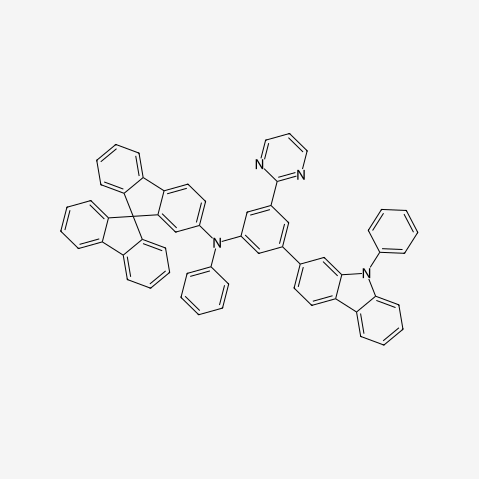 c1ccc(N(c2cc(-c3ccc4c5ccccc5n(-c5ccccc5)c4c3)cc(-c3ncccn3)c2)c2ccc3c(c2)C2(c4ccccc4-c4ccccc42)c2ccccc2-3)cc1